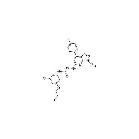 Cn1ncc2c(-c3ccc(F)cc3)cc(NNC(=O)Nc3cc(Cl)nc(OCCF)c3)nc21